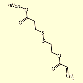 C=CC(=O)OCCSSCCC(=O)OCCCCCCCCC